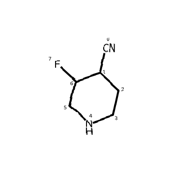 N#CC1CCNCC1F